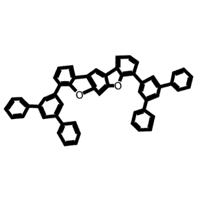 c1ccc(-c2cc(-c3ccccc3)cc(-c3cccc4c3oc3cc5oc6c(-c7cc(-c8ccccc8)cc(-c8ccccc8)c7)cccc6c5cc34)c2)cc1